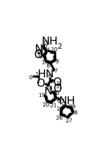 CCOC(C(=O)NCc1ccc2c(N)noc2c1)n1cccc(Nc2ccccc2)c1=O